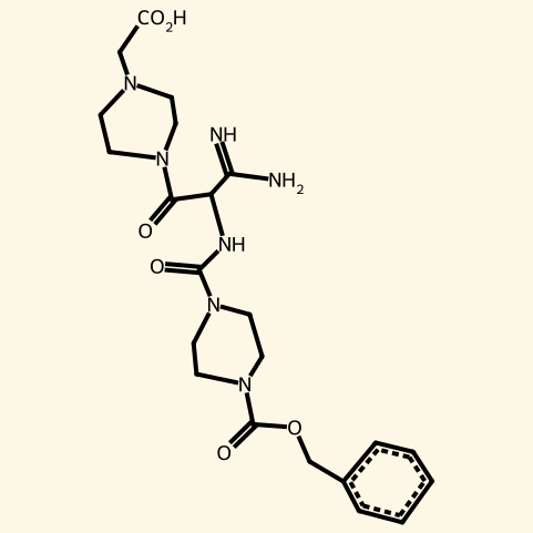 N=C(N)C(NC(=O)N1CCN(C(=O)OCc2ccccc2)CC1)C(=O)N1CCN(CC(=O)O)CC1